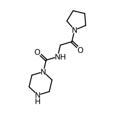 O=C(CNC(=O)N1CCNCC1)N1CCCC1